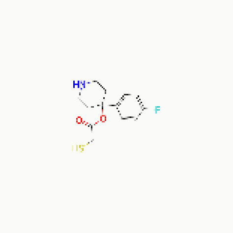 O=C(CS)OC1(c2ccc(F)cc2)CCNCC1